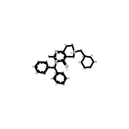 Cc1nc2c(c(=O)n1C(c1ccccc1)c1ccccc1)CN(CC1CCCCC1)CC2